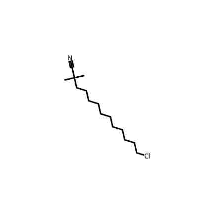 CC(C)(C#N)CCCCCCCCCCCCl